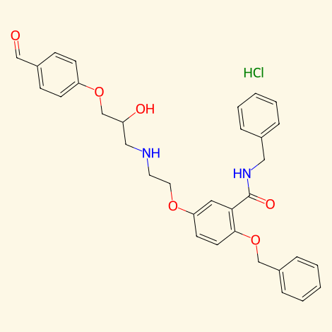 Cl.O=Cc1ccc(OCC(O)CNCCOc2ccc(OCc3ccccc3)c(C(=O)NCc3ccccc3)c2)cc1